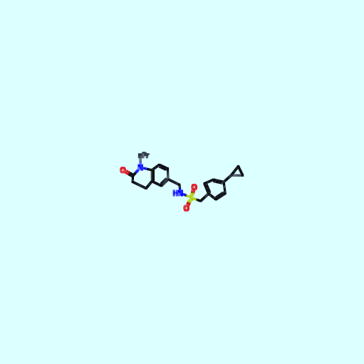 CCCN1C(=O)CCc2cc(CNS(=O)(=O)Cc3ccc(C4CC4)cc3)ccc21